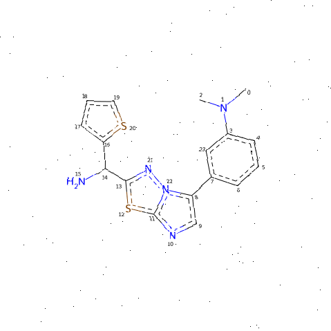 CN(C)c1cccc(-c2cnc3sc(C(N)c4cccs4)nn23)c1